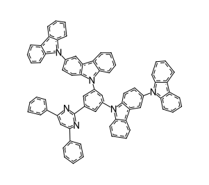 c1ccc(-c2cc(-c3ccccc3)nc(-c3cc(-n4c5ccccc5c5cc(-n6c7ccccc7c7ccccc76)ccc54)cc(-n4c5ccccc5c5cc(-n6c7ccccc7c7ccccc76)ccc54)c3)n2)cc1